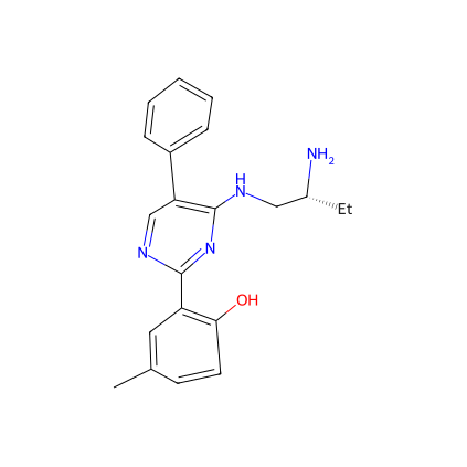 CC[C@@H](N)CNc1nc(-c2cc(C)ccc2O)ncc1-c1ccccc1